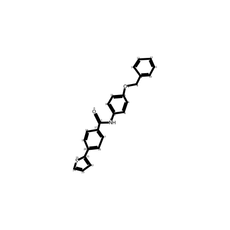 O=C(Nc1ccc(OCc2ccccc2)cc1)c1ccc(-c2cccs2)cc1